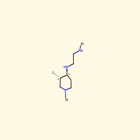 CC(C)NCCN[C@H]1CCN(C(C)C)C[C@@H]1F